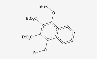 CCCCCCOc1c(C(=O)OCC)c(C(=O)OCC)c(OC(C)C)c2ccccc12